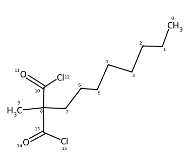 CCCCCCCCC(C)(C(=O)Cl)C(=O)Cl